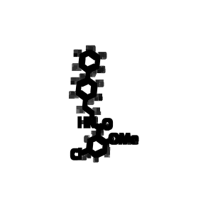 COc1ccc(Cl)cc1C(=O)NCCc1ccc(-c2ccccc2)cc1